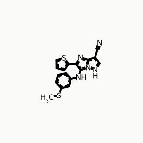 CSc1cccc(Nc2c(-c3cccs3)nc3c(C#N)c[nH]n23)c1